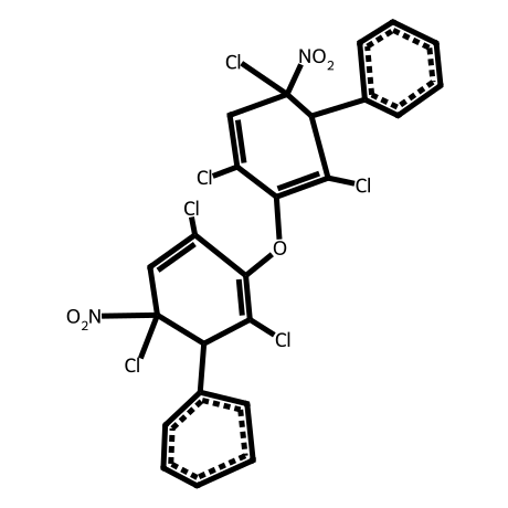 O=[N+]([O-])C1(Cl)C=C(Cl)C(OC2=C(Cl)C(c3ccccc3)C(Cl)([N+](=O)[O-])C=C2Cl)=C(Cl)C1c1ccccc1